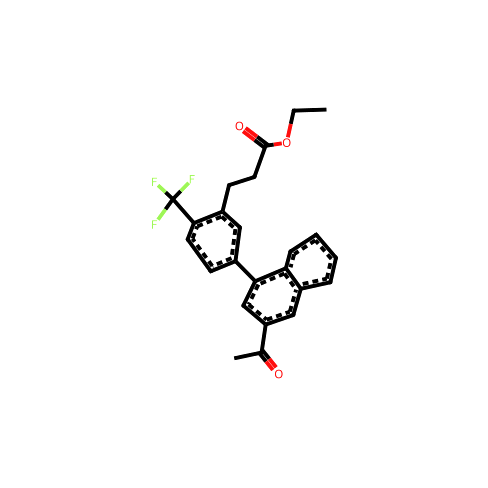 CCOC(=O)CCc1cc(-c2cc(C(C)=O)cc3ccccc23)ccc1C(F)(F)F